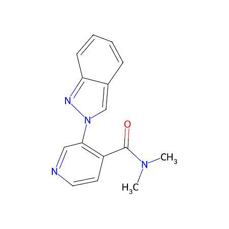 CN(C)C(=O)c1ccncc1-n1cc2ccccc2n1